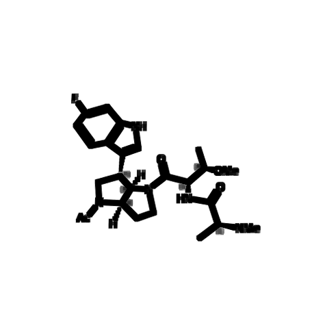 CN[C@@H](C)C(=O)N[C@H](C(=O)N1CC[C@@H]2[C@H]1[C@@H](c1c[nH]c3cc(F)ccc13)CN2C(C)=O)[C@@H](C)OC